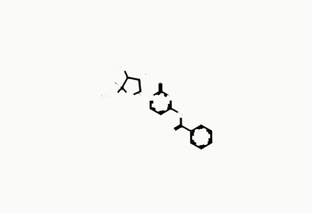 CC[C@]1(OC)O[C@@H](n2ccc(NC(=O)c3ccccc3)nc2=O)[C@@H](F)C1O